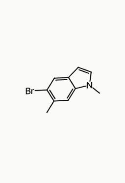 Cc1cc2c(ccn2C)cc1Br